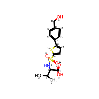 CC(C)C(NS(=O)(=O)c1ccc(-c2ccc(CO)cc2)s1)C(=O)O